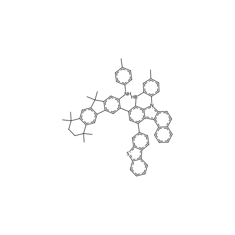 Cc1ccc(Nc2cc3c(cc2-c2cc(-c4ccc5c(c4)sc4ccccc45)c4c5c6ccccc6ccc5n5c4c2Bc2cc(C)ccc2-5)-c2cc4c(cc2C3(C)C)C(C)(C)CCC4(C)C)cc1